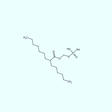 CCCCCCCC(CCCCCC)C(=O)OCOP(=O)(O)O